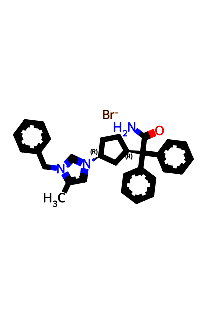 Cc1cn([C@@H]2CC[C@@H](C(C(N)=O)(c3ccccc3)c3ccccc3)C2)c[n+]1Cc1ccccc1.[Br-]